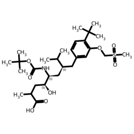 CC(C[C@H](O)[C@H](C[C@H](Cc1ccc(C(C)(C)C)c(OCS(C)(=O)=O)c1)C(C)C)NC(=O)OC(C)(C)C)C(=O)O